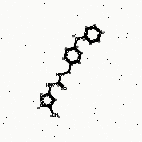 Cc1cc(NC(=O)NCc2ccc(Oc3ccncc3)cc2)no1